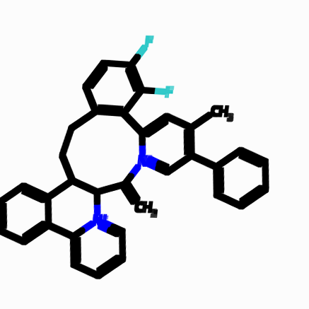 C=C1C2C(CCc3ccc(F)c(F)c3-c3cc(C)c(-c4ccccc4)c[n+]31)c1ccccc1-c1cccc[n+]12